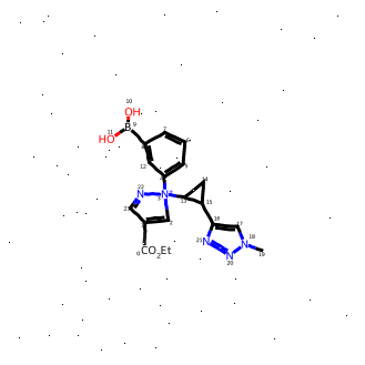 CCOC(=O)C1=C[N+](c2cccc(B(O)O)c2)(C2CC2c2cn(C)nn2)N=C1